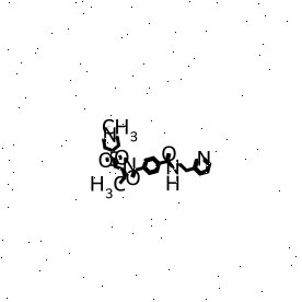 Cc1oc(-c2ccc(C(=O)NCCc3cccnc3)cc2)nc1CS(=O)(=O)C1CCN(C)CC1